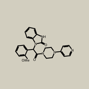 COc1ccccc1C(C(=O)N1CCN(c2ccncc2)CC1)n1c(=O)[nH]c2ccccc21